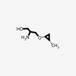 C[C@H]1C[C@H]1OCC(N)CO